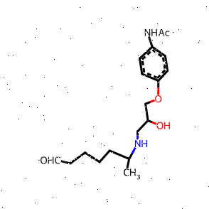 CC(=O)Nc1ccc(OCC(O)CNC(C)CCCC[C]=O)cc1